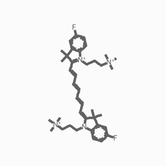 CC1(C)C(/C=C/C=C/C=C/C=C2/N(CCC[N+](C)(C)C)c3ccc(F)cc3C2(C)C)=[N+](CCC[N+](C)(C)C)c2ccc(F)cc21